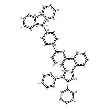 c1ccc(-c2oc3c4ccccc4c4cc(-c5ccc(-n6c7ccccc7c7ccccc76)cc5)ccc4c3c2-c2ccccc2)cc1